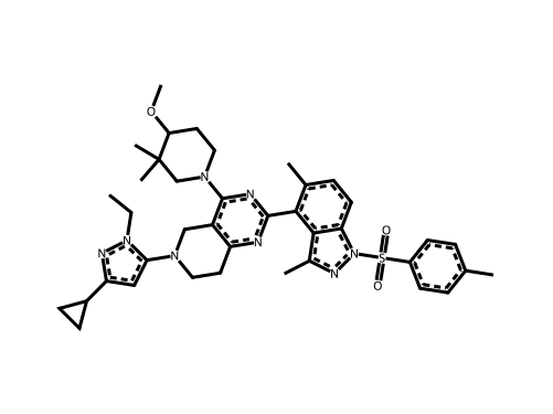 CCn1nc(C2CC2)cc1N1CCc2nc(-c3c(C)ccc4c3c(C)nn4S(=O)(=O)c3ccc(C)cc3)nc(N3CCC(OC)C(C)(C)C3)c2C1